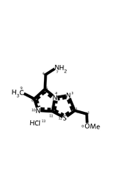 COCc1nn2c(CN)c(C)nc2s1.Cl